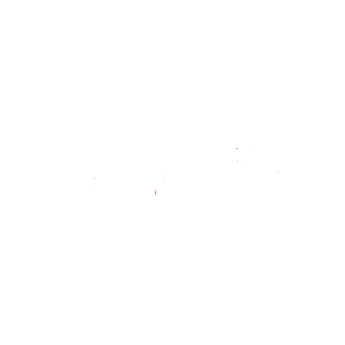 C=C(C)C(=O)OCC(O)COC(=O)CCCCCNC(=O)C(C)(C)CC(C)(C)C